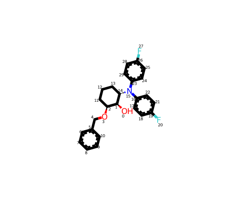 O[C@H]1[C@@H](OCc2ccccc2)CCC[C@@H]1N(c1ccc(F)cc1)c1ccc(F)cc1